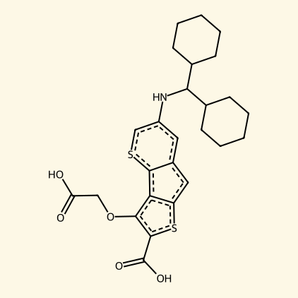 O=C(O)COc1c(C(=O)O)sc2cc3cc(NC(C4CCCCC4)C4CCCCC4)csc-3c12